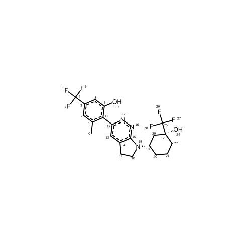 Cc1cc(C(F)(F)F)cc(O)c1-c1cc2c(nn1)N([C@H]1CCC[C@](O)(C(F)(F)F)C1)CC2